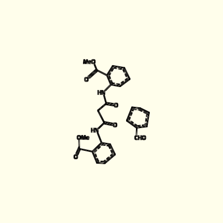 COC(=O)c1ccccc1NC(=O)CC(=O)Nc1ccccc1C(=O)OC.O=Cc1ccccc1